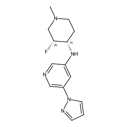 CN1CC[C@H](Nc2cncc(-n3cccn3)c2)[C@H](F)C1